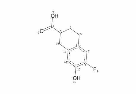 O=C(O)C1CCc2cc(F)c(O)cc2C1